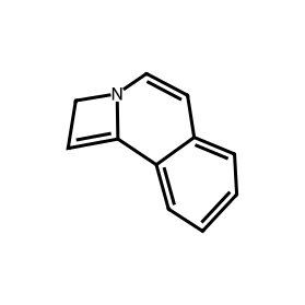 C1=CN2CC=C2c2ccccc21